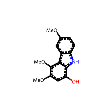 COc1ccc2[nH]c3c(O)cc(OC)c(OC)c3c2c1